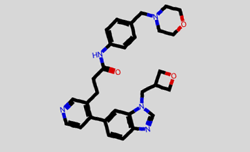 O=C(CCc1cnccc1-c1ccc2ncn(CC3COC3)c2c1)Nc1ccc(CN2CCOCC2)cc1